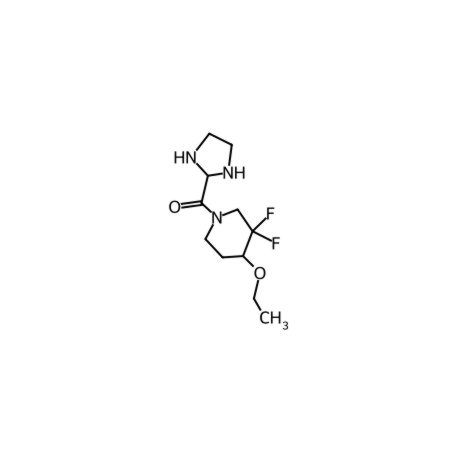 CCOC1CCN(C(=O)C2NCCN2)CC1(F)F